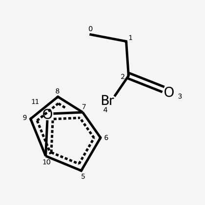 CCC(=O)Br.c1cc2ccc1o2